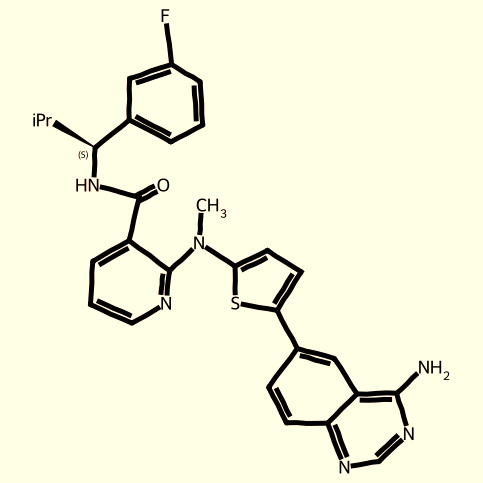 CC(C)[C@H](NC(=O)c1cccnc1N(C)c1ccc(-c2ccc3ncnc(N)c3c2)s1)c1cccc(F)c1